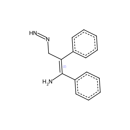 N=NC/C(=C(\N)c1ccccc1)c1ccccc1